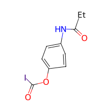 CCC(=O)Nc1ccc(OC(=O)I)cc1